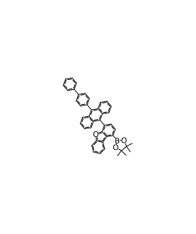 CC1(C)OB(c2ccc(-c3c4ccccc4c(-c4ccc(-c5ccccc5)cc4)c4ccccc34)c3oc4ccccc4c23)OC1(C)C